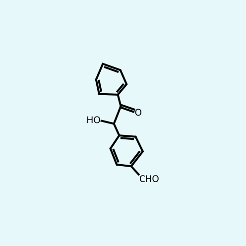 O=Cc1ccc(C(O)C(=O)c2ccccc2)cc1